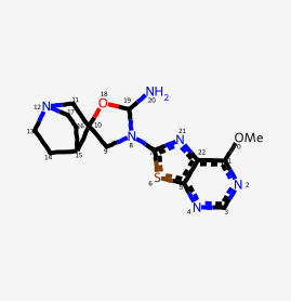 COc1ncnc2sc(N3CC4(CN5CCC4CC5)OC3N)nc12